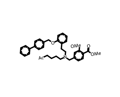 COC(=O)c1ccc(CN(CCCCC(C)=O)CCc2ccccc2OCc2ccc(-c3ccccc3)cc2)cc1OC